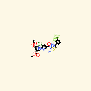 CCOC(=O)[C@@H]1C[C@@H](C(=O)OCC)CN(c2ncc(C(=O)Nc3nc(-c4cccc(C(F)(F)F)c4F)cs3)cc2Cl)C1